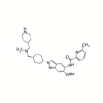 COc1cc2nn([C@H]3CC[C@H](CN(C)CC4CCNCC4)CC3)cc2cc1NC(=O)c1cccc(C)n1